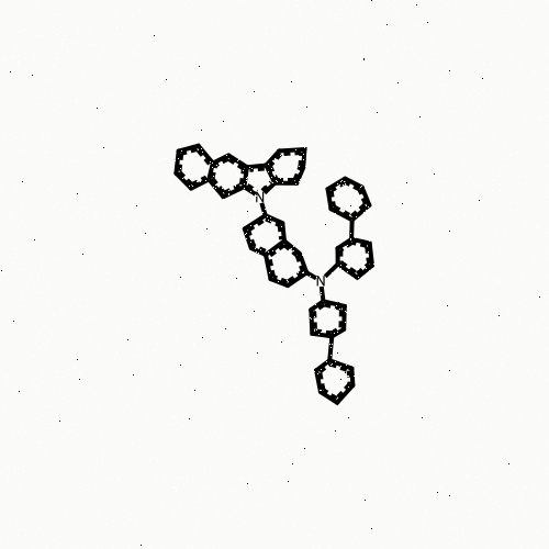 c1ccc(-c2ccc(N(c3cccc(-c4ccccc4)c3)c3ccc4ccc(-n5c6ccccc6c6cc7ccccc7cc65)cc4c3)cc2)cc1